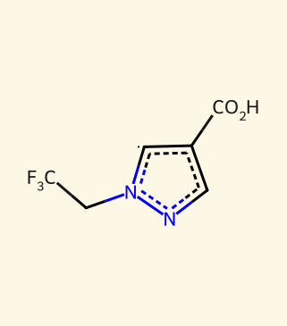 O=C(O)c1[c]n(CC(F)(F)F)nc1